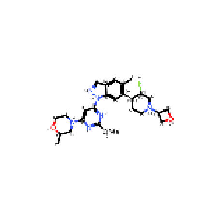 COc1nc(N2CCOC(C)C2)cc(-n2ncc3cc(C)c([C@@H]4CCN(C5COC5)C[C@@H]4F)cc32)n1